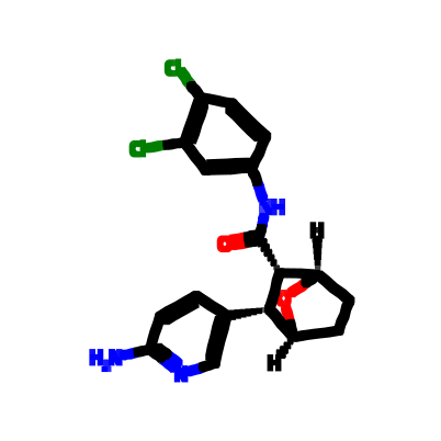 Nc1ccc([C@@H]2[C@H](C(=O)Nc3ccc(Cl)c(Cl)c3)[C@H]3CC[C@@H]2O3)cn1